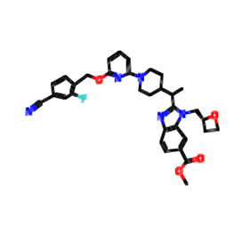 COC(=O)c1ccc2nc(C(C)C3CCN(c4cccc(OCc5ccc(C#N)cc5F)n4)CC3)n(C[C@@H]3CCO3)c2c1